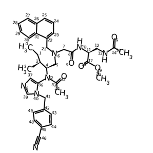 CC[C@H](C)[C@@H](CN(CC(=O)N[C@@H](CNC(C)=O)C(=O)OC)Cc1cccc2ccccc12)N(C(C)=O)c1cncn1Cc1ccc(C#N)cc1